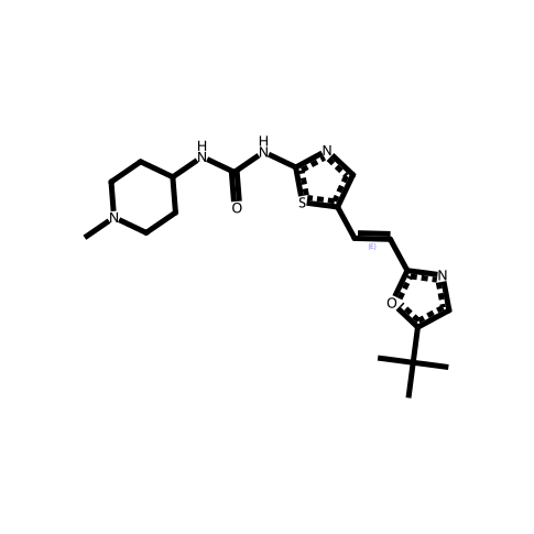 CN1CCC(NC(=O)Nc2ncc(/C=C/c3ncc(C(C)(C)C)o3)s2)CC1